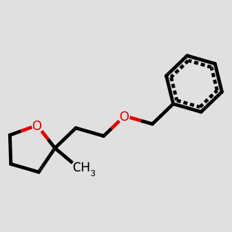 CC1(CCOCc2ccccc2)CCCO1